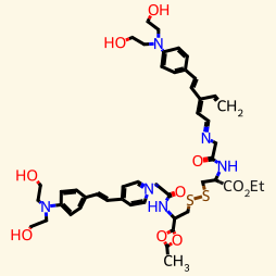 C=CC(/C=C/c1ccc(N(CCO)CCO)cc1)=C\C=N\CC(=O)NC(CSSCC(NC(=O)C[n+]1ccc(/C=C/c2ccc(N(CCO)CCO)cc2)cc1)C1OC(C)O1)C(=O)OCC